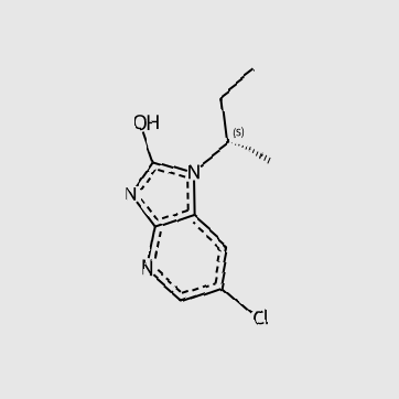 CC[C@H](C)n1c(O)nc2ncc(Cl)cc21